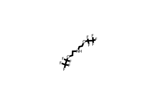 FC(F)(F)C(F)(F)OCCNCCOC(F)(F)C(F)(F)F